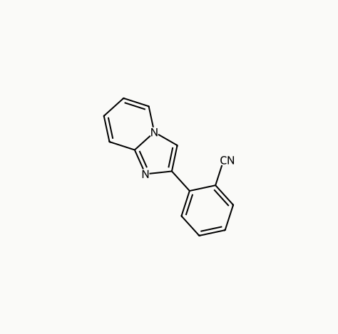 N#Cc1ccccc1-c1cn2ccccc2n1